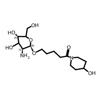 N[C@H]1C(O)[C@@H](O)C(CO)O[C@H]1OCCCCC(=O)N1CCC(O)CC1